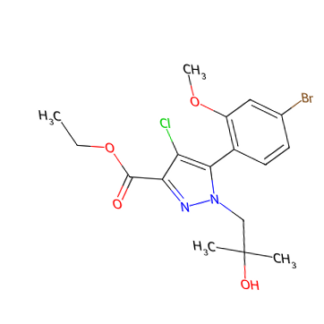 CCOC(=O)c1nn(CC(C)(C)O)c(-c2ccc(Br)cc2OC)c1Cl